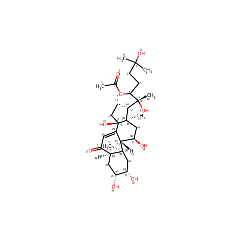 CC(=O)OC(CCC(C)(C)O)[C@](C)(O)[C@H]1CC[C@@]2(O)C3=CC(=O)[C@@H]4C[C@@H](O)[C@@H](O)C[C@]4(C)[C@H]3[C@H](O)C[C@]12C